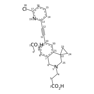 CC(=O)O.O=C(O)CCN1Cc2ccc(C#Cc3cccc(Cl)n3)cc2C2(CC2)C1